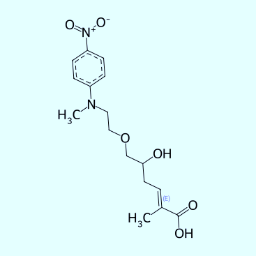 C/C(=C\CC(O)COCCN(C)c1ccc([N+](=O)[O-])cc1)C(=O)O